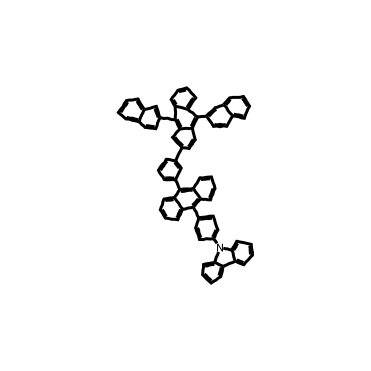 c1cc(-c2ccc3c(-c4ccc5ccccc5c4)c4ccccc4c(-c4ccc5ccccc5c4)c3c2)cc(-c2c3ccccc3c(-c3ccc(-n4c5ccccc5c5ccccc54)cc3)c3ccccc23)c1